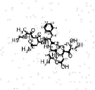 C[C@H](NCS)C(=O)CC(=O)[C@H](CC(N)=O)NN[C@@H](Cc1ccccc1)C(=O)N[C@@H](CC(N)=O)C(=O)N[C@@H](CC(=O)O)C(=O)C(=O)[C@H](CS)NO